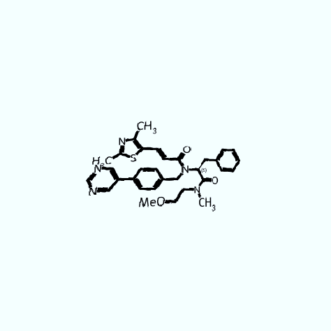 COCCN(C)C(=O)[C@H](Cc1ccccc1)N(Cc1ccc(-c2cncnc2)cc1)C(=O)C=Cc1sc(C)nc1C